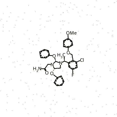 COc1ccc(OCc2c(Cl)cc(F)cc2[C@H](C)N2C[C@H](Oc3ccccc3)N(CC(N)=O)[C@H]2Oc2ccccc2)cc1